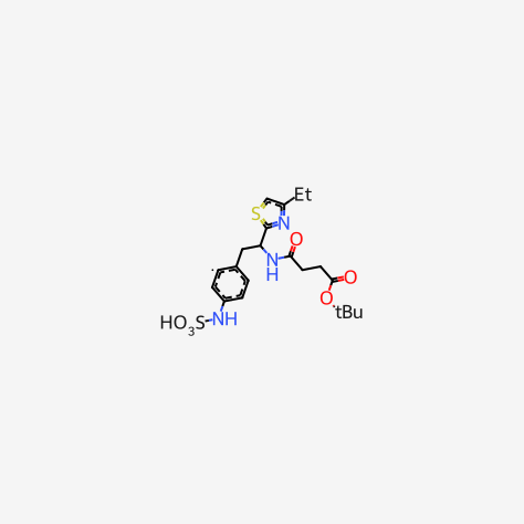 CCc1csc(C(Cc2[c]cc(NS(=O)(=O)O)cc2)NC(=O)CCC(=O)OC(C)(C)C)n1